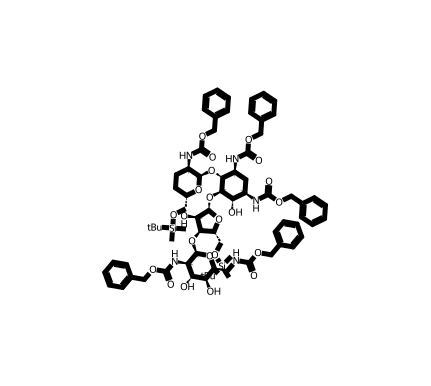 CC(C)(C)[Si](C)(C)OC[C@@H]1CC[C@@H](NC(=O)OCc2ccccc2)[C@@H](O[C@H]2[C@H](O[C@@H]3O[C@H](CO[Si](C)(C)C(C)(C)C)[C@@H](O[C@H]4O[C@@H](CNC(=O)OCc5ccccc5)[C@@H](O)[C@H](O)[C@H]4NC(=O)OCc4ccccc4)[C@H]3O)[C@@H](O)[C@H](NC(=O)OCc3ccccc3)C[C@@H]2NC(=O)OCc2ccccc2)O1